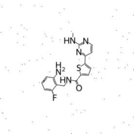 CNc1nccc(-c2ccc(C(=O)NCc3c(N)cccc3F)s2)n1